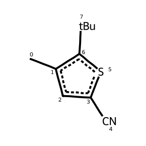 Cc1cc(C#N)sc1C(C)(C)C